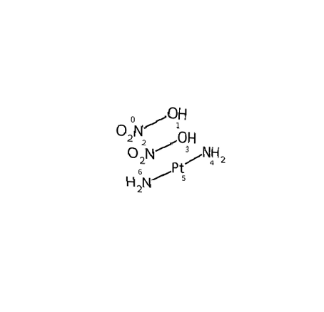 O=[N+]([O-])O.O=[N+]([O-])O.[NH2][Pt][NH2]